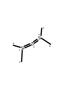 C[Si](C)=[Zr]=[Si](C)C